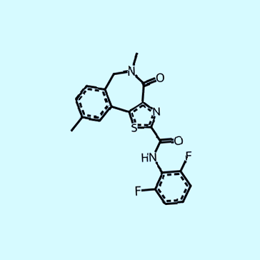 Cc1ccc2c(c1)-c1sc(C(=O)Nc3c(F)cccc3F)nc1C(=O)N(C)C2